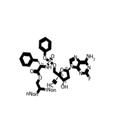 C#C[C@]1(COP(=O)(N[C@@H](Cc2ccccc2)C(=O)OCC(CCCCCCCCC)CCCCCCCCC)Oc2ccccc2)O[C@@H](n2cnc3c(N)nc(F)nc32)C[C@@H]1O